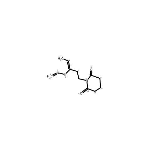 C=NS/C(=C\C)CCN1C(=O)CCCC1=O